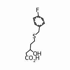 O=C(O)CC(O)CCSCc1ccc(F)cc1